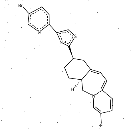 FC1=CN2C[C@H]3CC[C@@H](c4nc(-c5ccc(Br)cn5)cs4)CC3=CC=C2C=C1